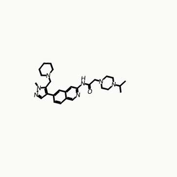 CC(C)N1CCN(CC(=O)Nc2cc3cc(-c4cnn(C)c4CN4CCCCC4)ccc3cn2)CC1